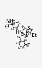 CCc1csc(C(Cc2ccc(C(N)=O)cc2)NC(=O)Cc2cccc(F)c2)n1